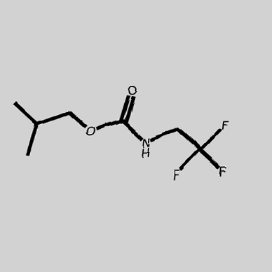 CC(C)COC(=O)NCC(F)(F)F